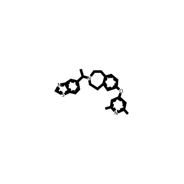 Cc1cc(Oc2ccc3c(c2)CCN(C(C)c2ccc4scnc4c2)CC3)cc(C)n1